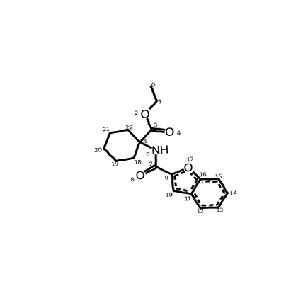 CCOC(=O)C1(NC(=O)c2cc3ccccc3o2)CCCCC1